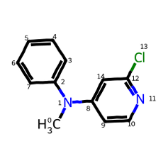 CN(c1ccccc1)c1ccnc(Cl)c1